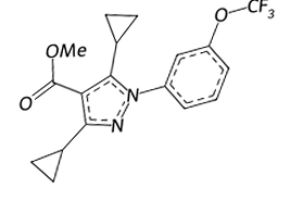 COC(=O)c1c(C2CC2)nn(-c2cccc(OC(F)(F)F)c2)c1C1CC1